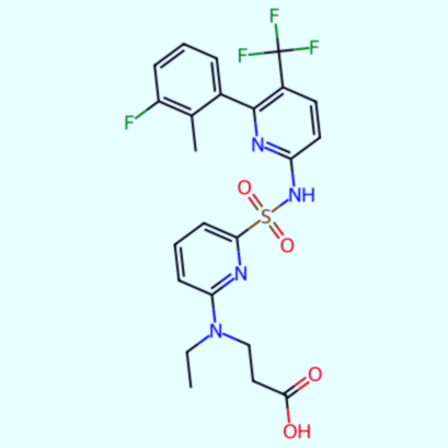 CCN(CCC(=O)O)c1cccc(S(=O)(=O)Nc2ccc(C(F)(F)F)c(-c3cccc(F)c3C)n2)n1